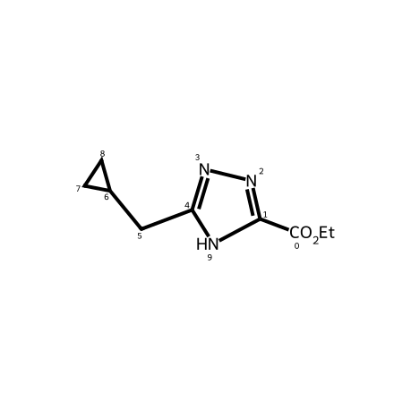 CCOC(=O)c1nnc(CC2CC2)[nH]1